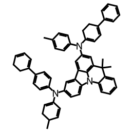 Cc1ccc(N(C2=CC=C(c3ccccc3)CC2)c2cc3c4c(c2)c2cc(N(C5=CCC(C)C=C5)c5ccc(C6=CC=CCC6)cc5)ccc2n4-c2ccccc2C3(C)C)cc1